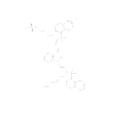 CCCCC[N+]1=C(/C=C/C2=C(Cl)C(=C/C=C3/N(CCCCS(=O)(=O)O)c4ccc5cc(Br)ccc5c4C3(C)C)/c3ccccc32)C(C)(C)c2c1ccc1cc(Br)ccc21